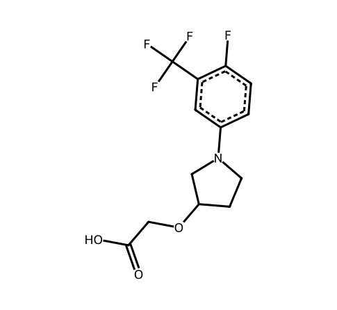 O=C(O)COC1CCN(c2ccc(F)c(C(F)(F)F)c2)C1